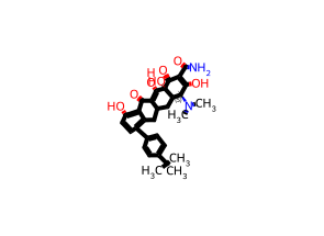 CN(C)[C@@H]1C(O)=C(C(N)=O)C(=O)[C@@]2(O)C(O)=C3C(=O)c4c(O)ccc(-c5ccc(C(C)(C)C)cc5)c4CC3CC12